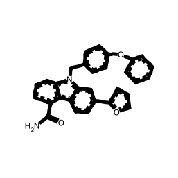 NC(=O)c1cccc2c1c1[c]cc(-c3ccco3)cc1n2Cc1ccc(Oc2ccccc2)cc1